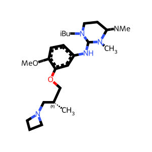 CCC(C)N1CCC(NC)N(C)C1Nc1ccc(OC)c(OC[C@H](C)CN2CCC2)c1